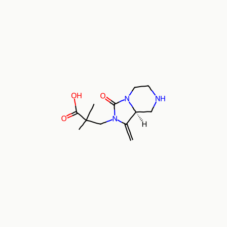 C=C1[C@@H]2CNCCN2C(=O)N1CC(C)(C)C(=O)O